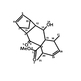 COC(=O)C12C(=O)C3C4C=CC(C4)C3C(O)C1C(C)C=CC2C